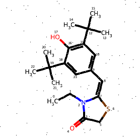 CCN1C(=O)CSC1=Cc1cc(C(C)(C)C)c(O)c(C(C)(C)C)c1